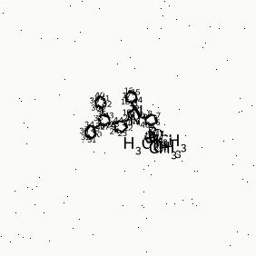 CC1(C)OB(c2cccc(-c3nc(-c4ccccc4)cc(-c4cccc(-c5cc(-c6ccccc6)cc(-c6ccccc6)c5)c4)n3)c2)OC1(C)C